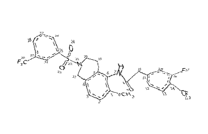 Cc1ccc2c(c1NC(=O)Cc1ccc(C(F)(F)F)c(F)c1)CCN(S(=O)(=O)c1cccc(C(F)(F)F)c1)C2